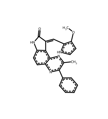 COc1cc[nH]c1/C=C1/C(=O)Nc2ccc3nc(-c4ccccc4)c(C)nc3c21